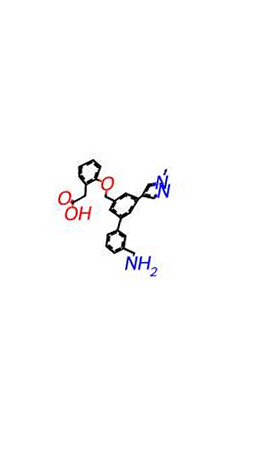 Cn1cc(-c2cc(COc3ccccc3CC(=O)O)cc(-c3cccc(CN)c3)c2)cn1